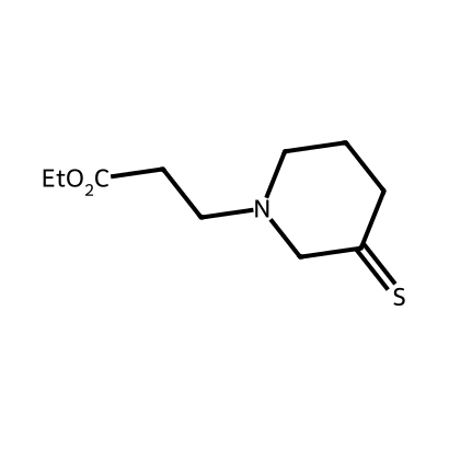 CCOC(=O)CCN1CCCC(=S)C1